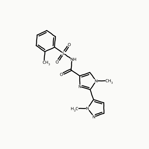 Cc1ccccc1S(=O)(=O)NC(=O)c1cn(C)c(-c2ccnn2C)n1